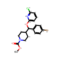 CC(C)(C)OC(=O)N1CCC(C(Oc2cccc(Cl)n2)c2ccc(Br)cc2)CC1